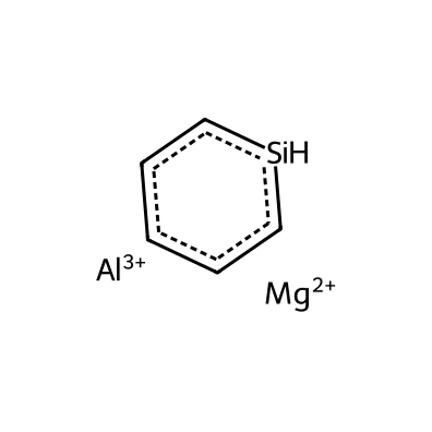 [Al+3].[Mg+2].c1cc[siH]cc1